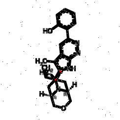 C=CC(=O)N1[C@@H]2COC[C@H]1CC(C)(c1[nH]c3nnc(-c4ccccc4O)cc3c1C)C2